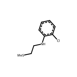 CSCCNc1[c]cccc1Cl